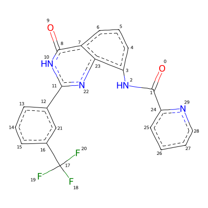 O=C(Nc1cccc2c(=O)[nH]c(-c3cccc(C(F)(F)F)c3)nc12)c1ccccn1